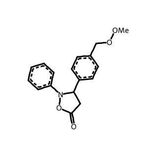 COOCc1ccc(C2CC(=O)ON2c2ccccc2)cc1